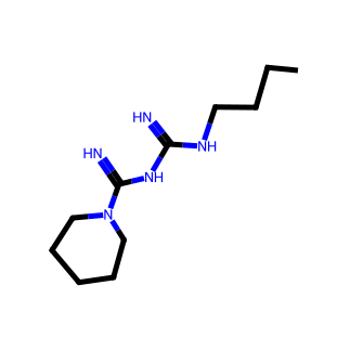 CCCCNC(=N)NC(=N)N1CCCCC1